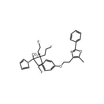 Cc1oc(-c2ccccc2)nc1CCOc1ccc(C[C@](C(=O)O)(n2cccc2)C(CCF)(CCF)CCF)cc1